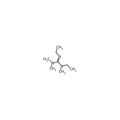 CC/N=C(\N(C)C)N(C)CC